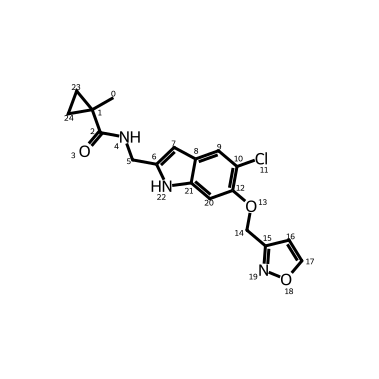 CC1(C(=O)NCc2cc3cc(Cl)c(OCc4ccon4)cc3[nH]2)CC1